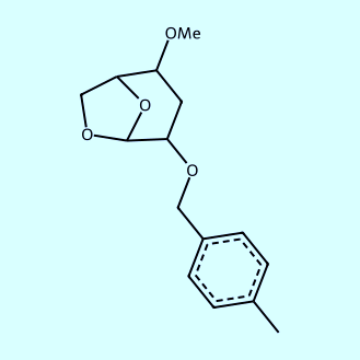 COC1CC(OCc2ccc(C)cc2)C2OCC1O2